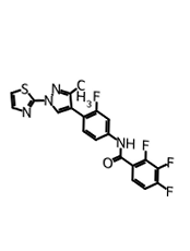 Cc1nn(-c2nccs2)cc1-c1ccc(NC(=O)c2ccc(F)c(F)c2F)cc1F